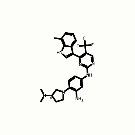 Cc1cccc2c(-c3nc(Nc4ccc(N5CC[C@@H](N(C)C)C5)c(N)c4)ncc3C(F)(F)F)c[nH]c12